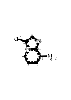 Nc1cccn2c(Cl)cnc12